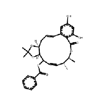 C[C@@H]1/C=C\C(OC(=O)c2ccccc2)[C@H]2OC(C)(C)O[C@H]2C/C=C/c2cc(O)cc(O)c2C(=O)O[C@H]1C